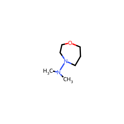 CN(C)N1CCCOCC1